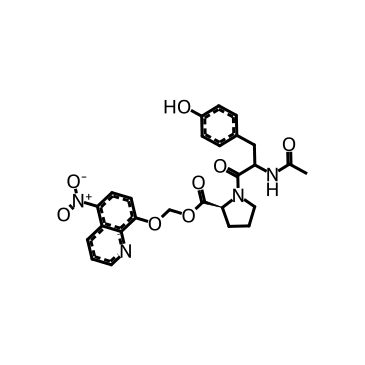 CC(=O)NC(Cc1ccc(O)cc1)C(=O)N1CCC[C@H]1C(=O)OCOc1ccc([N+](=O)[O-])c2cccnc12